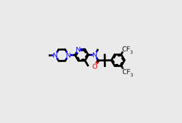 Cc1cc(N2CCN(C)CC2)ncc1N(C)C(=O)C(C)(C)c1cc(C(F)(F)F)cc(C(F)(F)F)c1